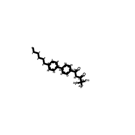 CCCCCCc1ccc(-c2ccc(C(=O)CC(=O)C(F)(F)F)cc2)cc1